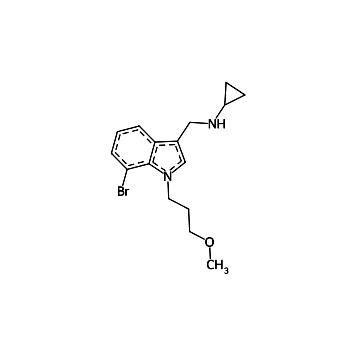 COCCCn1cc(CNC2CC2)c2cccc(Br)c21